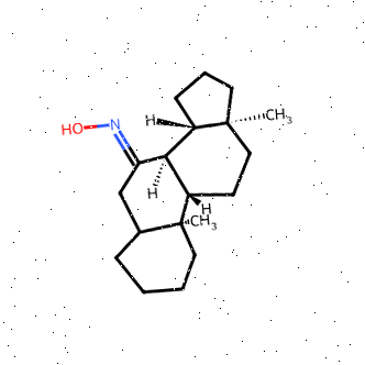 C[C@@]12CCC[C@H]1[C@@H]1C(=NO)CC3CCCC[C@]3(C)[C@H]1CC2